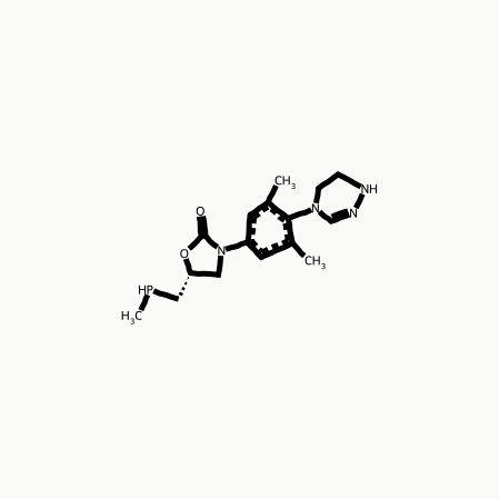 CPC[C@H]1CN(c2cc(C)c(N3C=NNCC3)c(C)c2)C(=O)O1